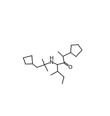 CCC(C)C(NC(C)(C)CC1CCC1)C(=O)C(C)C1CCCC1